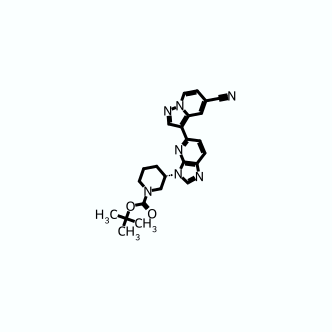 CC(C)(C)OC(=O)N1CCC[C@H](n2cnc3ccc(-c4cnn5ccc(C#N)cc45)nc32)C1